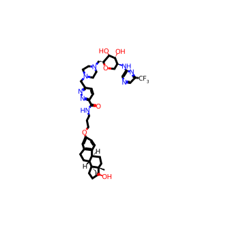 C[C@]12CC[C@@H]3c4ccc(OCCCNC(=O)c5ccc(CN6CCN(C[C@H]7OC[C@H](Nc8cncc(C(F)(F)F)n8)[C@@H](O)[C@H]7O)CC6)nn5)cc4CC[C@H]3[C@@H]1CC[C@@H]2O